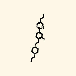 CCCc1cnc(-c2ccc(CC[C@H]3CC[C@H](CCC)CC3)c(C)c2)nc1